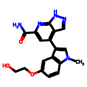 Cn1cc(-c2cc(C(N)=O)nc3[nH]ncc23)c2cc(OCCO)ccc21